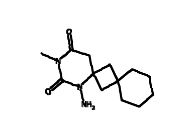 CN1C(=O)CC2(CC3(CCCCC3)C2)N(N)C1=O